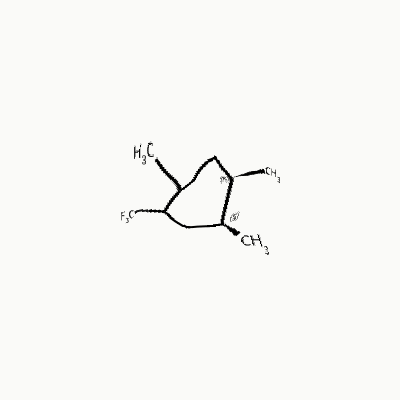 CC1C[C@@H](C)[C@@H](C)CC1C(F)(F)F